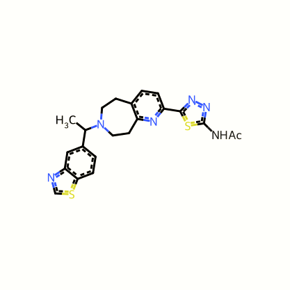 CC(=O)Nc1nnc(-c2ccc3c(n2)CCN(C(C)c2ccc4scnc4c2)CC3)s1